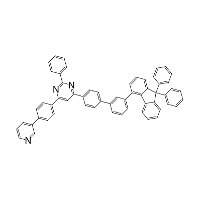 c1ccc(-c2nc(-c3ccc(-c4cccnc4)cc3)cc(-c3ccc(-c4cccc(-c5cccc6c5-c5ccccc5C6(c5ccccc5)c5ccccc5)c4)cc3)n2)cc1